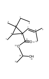 CCC1(C)C(C)C1(C=C(C)C)C(=O)OC(C)O